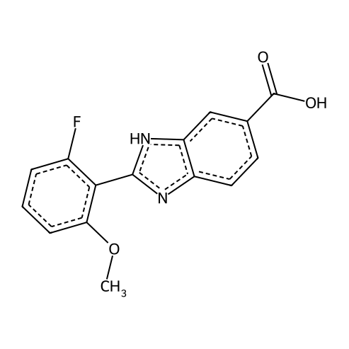 COc1cccc(F)c1-c1nc2ccc(C(=O)O)cc2[nH]1